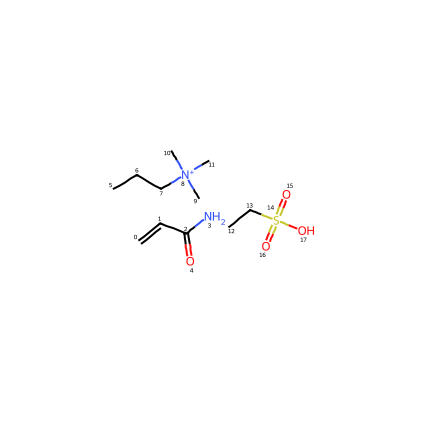 C=CC(N)=O.CCC[N+](C)(C)C.CCS(=O)(=O)O